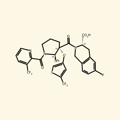 CCC[C@H]1N(C(=O)c2ncccc2C(F)(F)F)CCC[C@@]1(Oc1csc(C(F)(F)F)c1)C(=O)N1Cc2ccc(F)cc2C[C@H]1C(=O)O